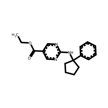 CCOC(=O)c1cnc(NC2(c3ccccc3)CCCC2)nc1